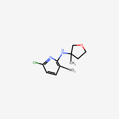 CC1(Nc2nc(Cl)ccc2[N+](=O)[O-])CCOC1